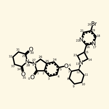 O=C1c2ccc(O[C@@H]3CCCC[C@@H]3N3CC(c4ncc(Br)cn4)C3)cc2CN1N1C(=O)CCCC1=O